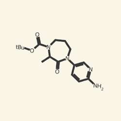 CC1C(=O)N(c2ccc(N)nc2)CCCN1C(=O)OC(C)(C)C